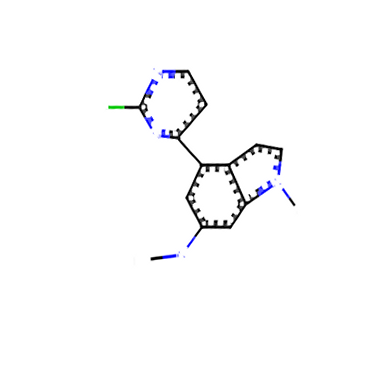 CNc1cc(-c2ccnc(Cl)n2)c2ccn(C)c2c1